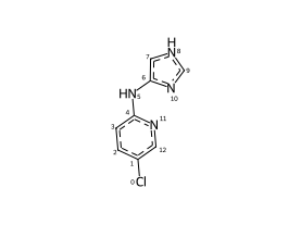 Clc1ccc(Nc2c[nH]cn2)nc1